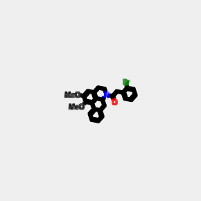 COc1cc2c3c(c1OC)-c1ccccc1CC3N(C(=O)Cc1ccccc1Br)CC2